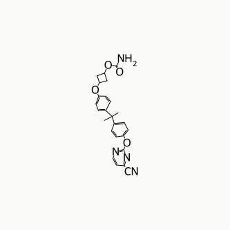 CC(C)(c1ccc(Oc2nccc(C#N)n2)cc1)c1ccc(OC2CC(OC(N)=O)C2)cc1